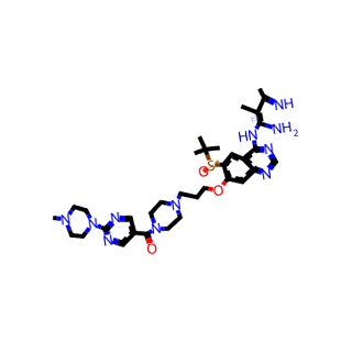 CC(=N)/C(C)=C(\N)Nc1ncnc2cc(OCCCN3CCN(C(=O)c4cnc(N5CCN(C)CC5)nc4)CC3)c([S+]([O-])C(C)(C)C)cc12